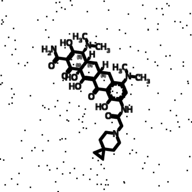 CN(C)c1cc(NC(=O)CN2CCC3(CC2)CC3)c(O)c2c1C[C@H]1C[C@H]3[C@H](N(C)C)C(O)=C(C(N)=O)C(=O)[C@@]3(O)C(O)=C1C2=O